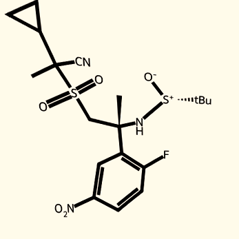 CC(C)(C)[S@@+]([O-])N[C@@](C)(CS(=O)(=O)C(C)(C#N)C1CC1)c1cc([N+](=O)[O-])ccc1F